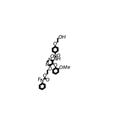 COc1ccccc1Oc1c(NS(=O)(=O)c2ccc(OCCO)cc2)ncnc1OCCOC(=O)N(F)c1ccccc1